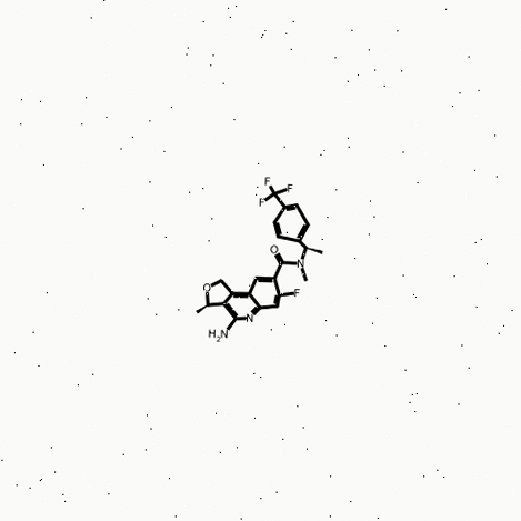 C[C@H](c1ccc(C(F)(F)F)cc1)N(C)C(=O)c1cc2c3c(c(N)nc2cc1F)[C@@H](C)OC3